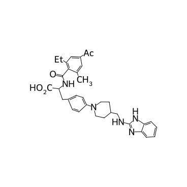 CCc1cc(C(C)=O)cc(C)c1C(=O)NC(Cc1ccc(N2CCC(CNc3nc4ccccc4[nH]3)CC2)cc1)C(=O)O